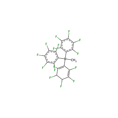 C[B-](C1=C(F)C(F)C(F)C(F)=C1F)(c1c(F)c(F)c(F)c(F)c1F)c1c(F)c(F)c(F)c(F)c1F